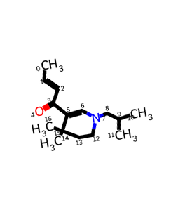 C/C=C/C(=O)C1=CN(CC(C)C)CCC1(C)C